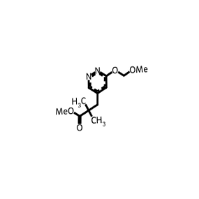 COCOc1cc(CC(C)(C)C(=O)OC)cnn1